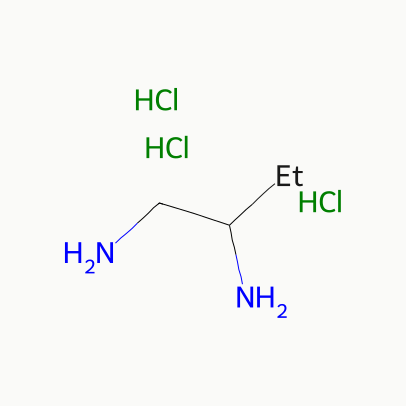 CCC(N)CN.Cl.Cl.Cl